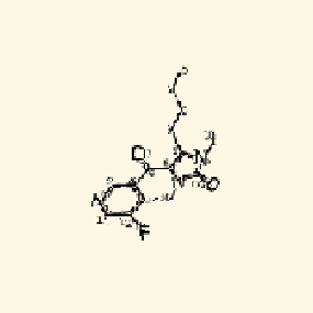 CCCCc1c(C(=O)c2cncc(F)c2)n(C)c(=O)n1C